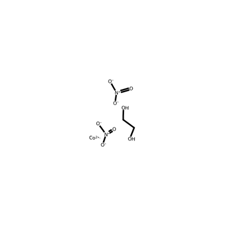 O=[N+]([O-])[O-].O=[N+]([O-])[O-].OCCO.[Co+2]